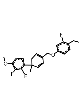 CCc1ccc(OCC2=CCC(C)(c3ccc(OC)c(F)c3F)C=C2)cc1F